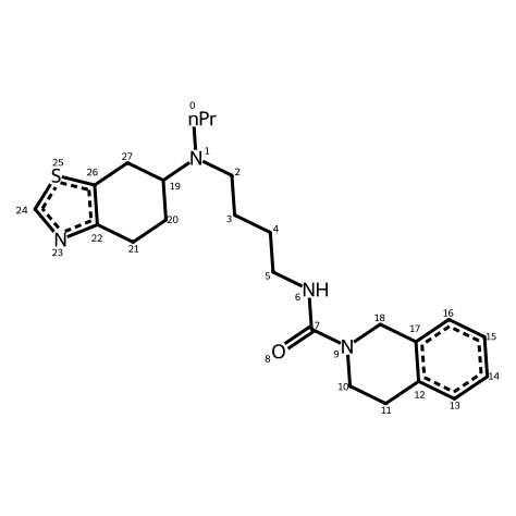 CCCN(CCCCNC(=O)N1CCc2ccccc2C1)C1CCc2ncsc2C1